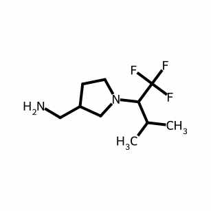 CC(C)C(N1CCC(CN)C1)C(F)(F)F